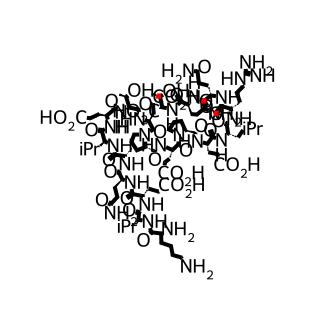 CC(C)C[C@H](NC(=O)[C@H](CCC(=O)O)NC(=O)[C@@H]1CCCN1C(=O)[C@H](CCC(=O)O)NC(=O)[C@@H]1CCCN1C(=O)[C@H](CCC(=O)O)NC(=O)[C@@H](NC(=O)[C@H](CCC(=O)O)NC(=O)[C@@H](NC(=O)[C@H](C)NC(=O)[C@H](CCC(N)=O)NC(=O)[C@H](CCC(=O)O)NC(=O)[C@@H](NC(=O)[C@@H](N)CCCCN)C(C)C)C(C)C)[C@@H](C)O)C(=O)N[C@@H](CCCNC(=N)N)C(=O)N[C@@H](CCC(N)=O)C(=O)N[C@@H](CCC(N)=O)C(=O)N[C@H](C(=O)O)[C@@H](C)O